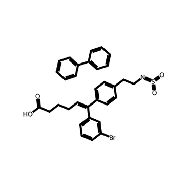 O=C(O)CCC/C=C(/c1ccc(CCN=S(=O)=O)cc1)c1cccc(Br)c1.c1ccc(-c2ccccc2)cc1